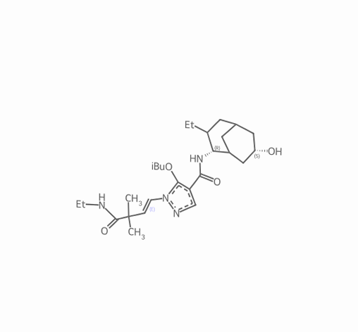 CCNC(=O)C(C)(C)/C=C/n1ncc(C(=O)N[C@@H]2C(CC)CC3CC2C[C@@H](O)C3)c1OCC(C)C